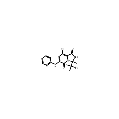 CCC(C)(C)C1(C)NC(=O)c2c(Cl)cc(Nc3ccncn3)c(=O)n21